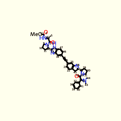 COC(=O)N[C@@H](C)C(=O)N1CCC[C@H]1c1nc2cc(C#Cc3ccc4c(c3)N=C([C@@H]3CCCN3C(=O)C(c3ccccc3)N(C)C)C4)ccc2[nH]1